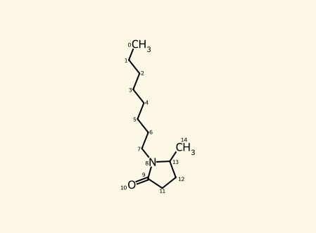 CCCCCCCCN1C(=O)CCC1C